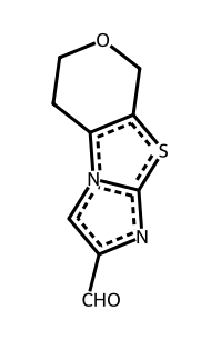 O=Cc1cn2c3c(sc2n1)COCC3